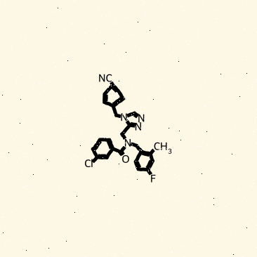 Cc1cc(F)ccc1CN(Cc1nncn1Cc1ccc(C#N)cc1)C(=O)c1cccc(Cl)c1